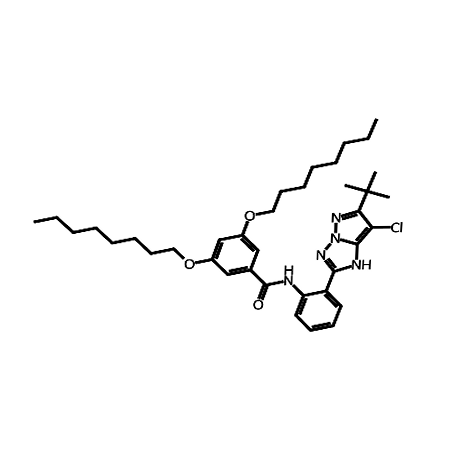 CCCCCCCCOc1cc(OCCCCCCCC)cc(C(=O)Nc2ccccc2-c2nn3nc(C(C)(C)C)c(Cl)c3[nH]2)c1